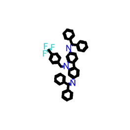 FC(F)(F)c1ccc(Cn2c3cc(N=C(c4ccccc4)c4ccccc4)ccc3c3ccc(N=C(c4ccccc4)c4ccccc4)cc32)cc1